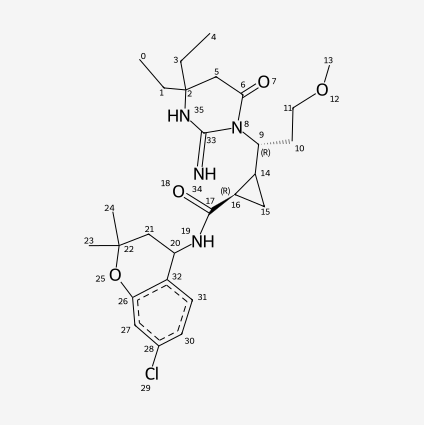 CCC1(CC)CC(=O)N([C@H](CCOC)C2C[C@H]2C(=O)NC2CC(C)(C)Oc3cc(Cl)ccc32)C(=N)N1